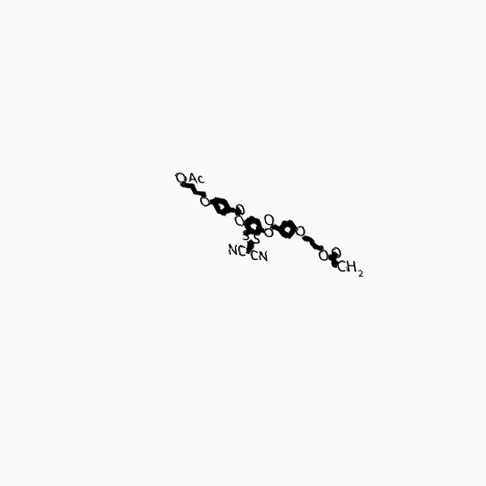 C=CC(=O)OCCCCOc1ccc(C(=O)Oc2ccc(OC(=O)c3ccc(OCCCCOC(C)=O)cc3)c3c2SC(=C(C#N)C#N)S3)cc1